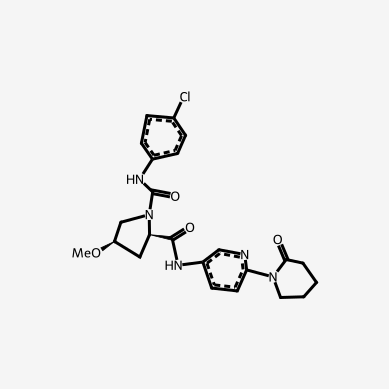 CO[C@@H]1C[C@H](C(=O)Nc2ccc(N3CCCCC3=O)nc2)N(C(=O)Nc2ccc(Cl)cc2)C1